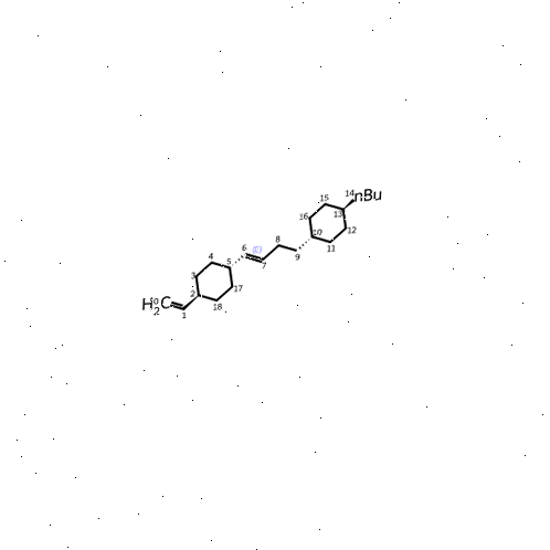 C=C[C@H]1CC[C@H](/C=C/CC[C@H]2CC[C@H](CCCC)CC2)CC1